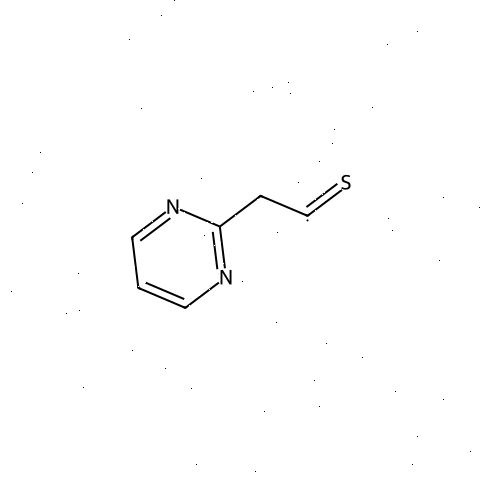 S=[C]Cc1ncccn1